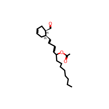 CCCCCCCCC(C=CC=C[C@H]1CC=CC[C@H]1C=O)OC(C)=O